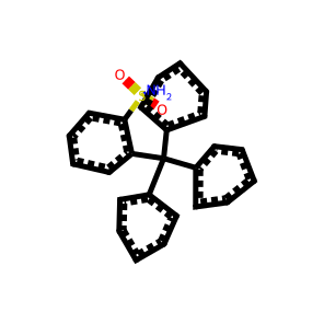 NS(=O)(=O)c1ccccc1C(c1ccccc1)(c1ccccc1)c1ccccc1